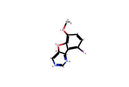 COc1ccc(I)c2c1oc1cncnc12